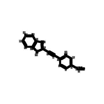 CNc1ccc(C#Cc2nc3cnccc3s2)nc1